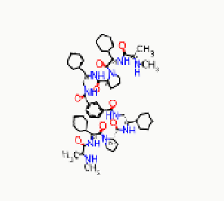 CN[C@@H](C)C(=O)N[C@H](C(=O)N1CCC[C@H]1C(=O)N[C@H](CNC(=O)c1cccc(C(=O)NC[C@@H](NC(=O)[C@@H]2CCCN2C(=O)[C@@H](NC(=O)[C@H](C)NC)C2CCCCC2)C2CCCCC2)c1)C1CCCCC1)C1CCCCC1